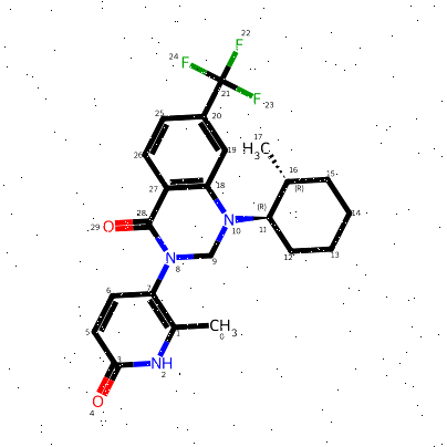 Cc1[nH]c(=O)ccc1N1CN([C@@H]2CCCC[C@H]2C)c2cc(C(F)(F)F)ccc2C1=O